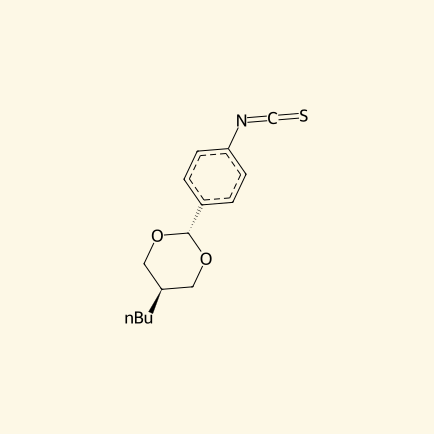 CCCC[C@H]1CO[C@H](c2ccc(N=C=S)cc2)OC1